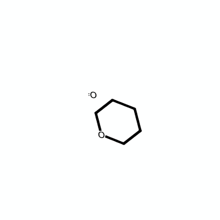 C1CCOCC1.[O]